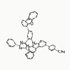 N#Cc1ccc(-c2ccc3c(c2)c2ccccc2n3-c2ccc(-c3cccc4c3oc3ccccc34)cc2-c2nc(-c3ccccc3)nc(-c3ccccc3)n2)cc1